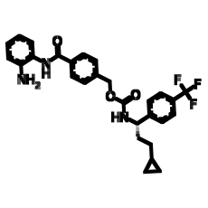 Nc1ccccc1NC(=O)c1ccc(COC(=O)N[C@@H](CCC2CC2)c2ccc(C(F)(F)F)cc2)cc1